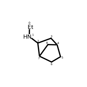 CCNC1CC2CCC1C2